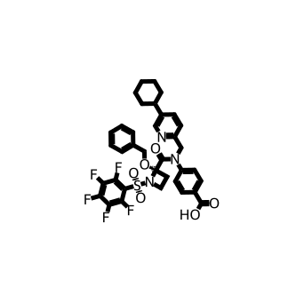 O=C(O)c1ccc(N(Cc2ccc(C3CCCCC3)cn2)C(=O)[C@]2(OCc3ccccc3)CCN2S(=O)(=O)c2c(F)c(F)c(F)c(F)c2F)cc1